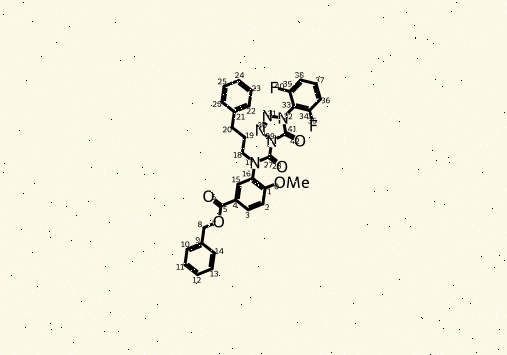 COc1ccc(C(=O)OCc2ccccc2)cc1N(CCCc1ccccc1)C(=O)n1nnn(-c2c(F)cccc2F)c1=O